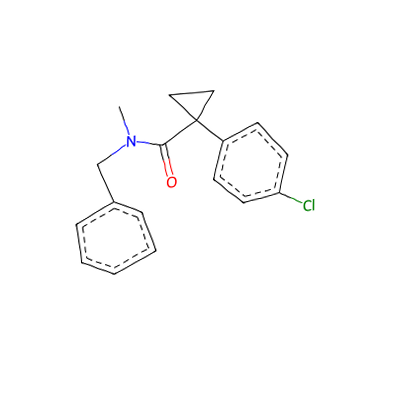 CN(Cc1ccccc1)C(=O)C1(c2ccc(Cl)cc2)CC1